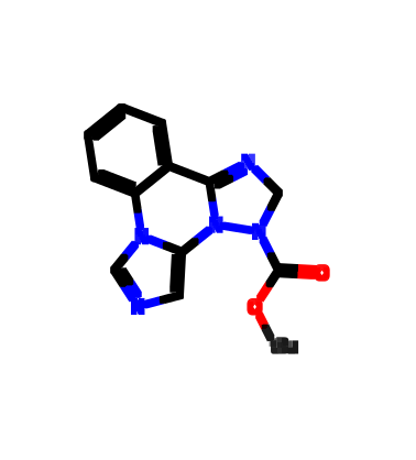 CC(C)(C)OC(=O)N1CN=C2c3ccccc3-n3cncc3N21